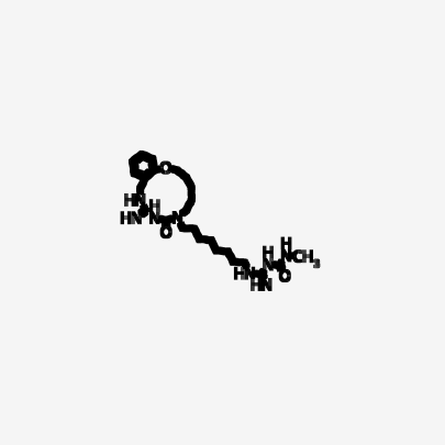 CNC(=O)NC(=N)NCCCCCCCCN1CCCCCOc2ccccc2CNC(=N)NC1=O